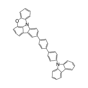 c1ccc2c(c1)Oc1cccc3c4cc(-c5ccc(-c6ccc(-n7c8ccccc8c8ccccc87)cc6)cc5)ccc4n-2c13